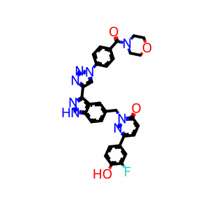 O=C(c1ccc(-n2cc(-c3n[nH]c4ccc(Cn5nc(-c6ccc(O)c(F)c6)ccc5=O)cc34)nn2)cc1)N1CCOCC1